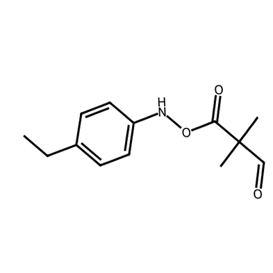 CCc1ccc(NOC(=O)C(C)(C)C=O)cc1